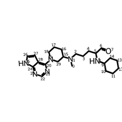 CN(CCCC(C=O)NC1CCCCC1)C1CCCN(c2ncnc3[nH]ccc23)C1